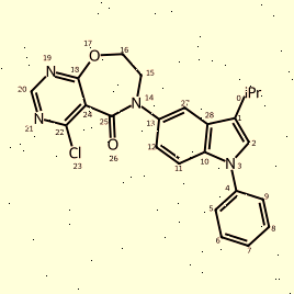 CC(C)c1cn(-c2ccccc2)c2ccc(N3CCOc4ncnc(Cl)c4C3=O)cc12